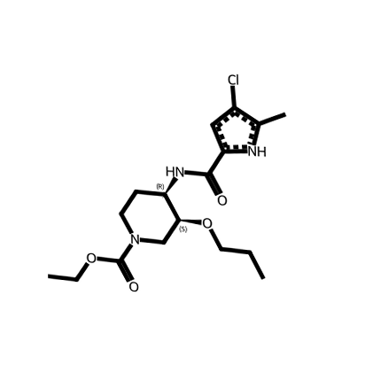 CCCO[C@H]1CN(C(=O)OCC)CC[C@H]1NC(=O)c1cc(Cl)c(C)[nH]1